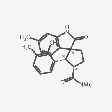 CNC(=O)[C@@H]1CC[C@@]2(C(=O)Nc3cc(C)ccc32)[C@H]1c1cccc(C)c1C